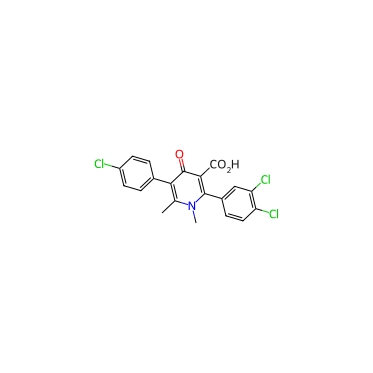 Cc1c(-c2ccc(Cl)cc2)c(=O)c(C(=O)O)c(-c2ccc(Cl)c(Cl)c2)n1C